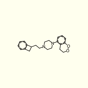 c1ccc2c(c1)CC2CCN1CCN(c2cccc3c2CCOO3)CC1